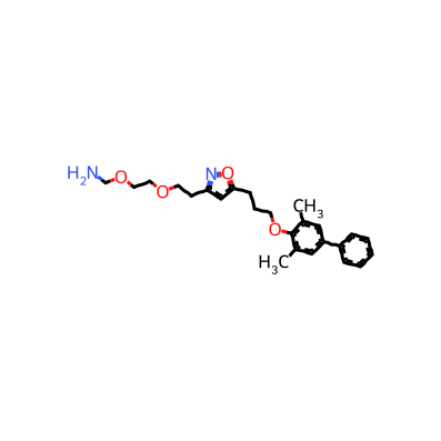 Cc1cc(-c2ccccc2)cc(C)c1OCCCc1cc(CCOCCOCN)no1